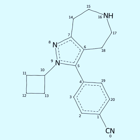 N#Cc1ccc(-c2c3c(nn2C2CCC2)CCNCC3)cc1